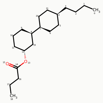 CCCC[C@H]1CC[C@@H]([C@@H]2CCC[C@@H](OC(=O)CCC)C2)CC1